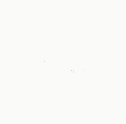 Cc1nc(OCCN(C)C)c2c(C)c(C)oc2n1